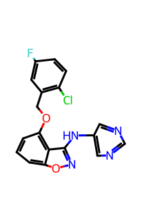 Fc1ccc(Cl)c(COc2cccc3onc(Nc4cncnc4)c23)c1